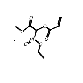 C=CC(=O)OC(C(=O)OC)[PH](=O)OCC